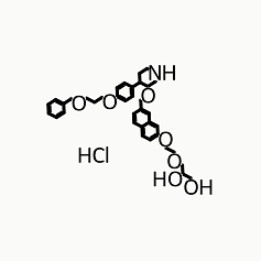 Cl.OCC(O)COCCOc1ccc2ccc(COC3CNCCC3c3ccc(OCCCOCc4ccccc4)cc3)cc2c1